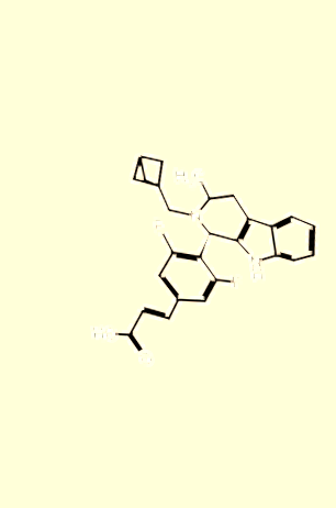 CC1Cc2c([nH]c3ccccc23)[C@@H](c2c(F)cc(/C=C/C(=O)O)cc2F)N1CC12CC(C1)C2